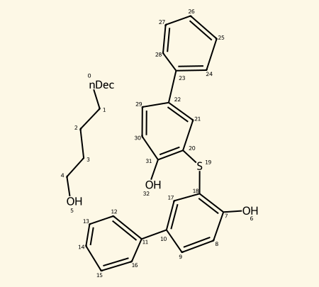 CCCCCCCCCCCCCCO.Oc1ccc(-c2ccccc2)cc1Sc1cc(-c2ccccc2)ccc1O